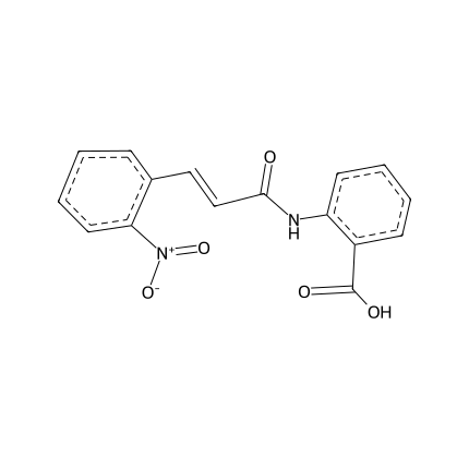 O=C(/C=C/c1ccccc1[N+](=O)[O-])Nc1ccccc1C(=O)O